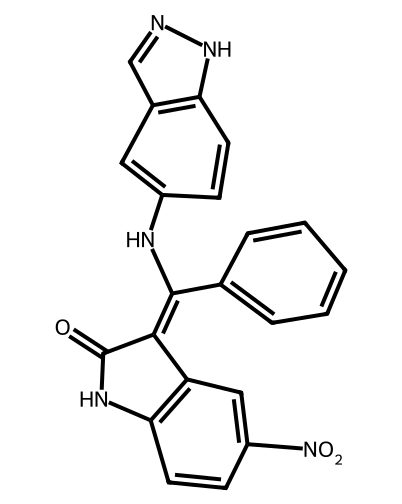 O=C1Nc2ccc([N+](=O)[O-])cc2C1=C(Nc1ccc2[nH]ncc2c1)c1ccccc1